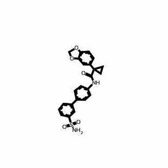 NS(=O)(=O)c1cccc(-c2ccc(NC(=O)C3(c4ccc5c(c4)OCO5)CC3)cc2)c1